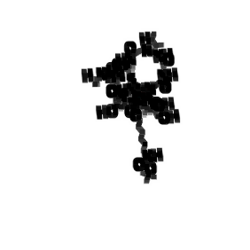 CCC(C)[C@H]1NCC(=O)N[C@H]2CSc3[nH]c4cc(OCCCCCCNC(=O)OC(C)(C)C)ccc4c3CC(NC(=O)[C@H]([C@@H](C)C(O)CO)NC(=O)C3C[C@@H](O)CN3C(=O)C(CC(N)=O)NC2=O)C(=O)NCC(=O)N1